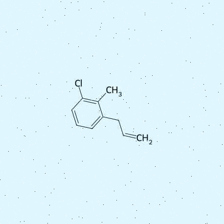 C=CCc1cccc(Cl)c1C